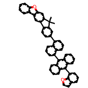 CC1(C)c2cc(-c3cccc4c(-c5c6ccccc6c(-c6cccc7ccoc67)c6ccccc56)cccc34)ccc2-c2cc3c(cc21)oc1ccccc13